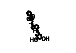 C=C1/C(=C\C=C2/CCC[C@]3(C)[C@@H]([C@H](C)CC(C)(C)S(=O)(=O)c4ccccc4)CC[C@@H]23)CC(O)CC1O